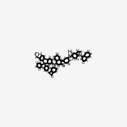 C=Cc1ccc2c(c1)C(c1ccccc1)(c1ccccc1)c1cc(N(c3ccc4c(c3)CC4)c3cc4sc5ccc(Nc6ccc7c(ccn7-c7cccc8ccccc78)c6)cc5c4c4ccccc34)ccc1-2